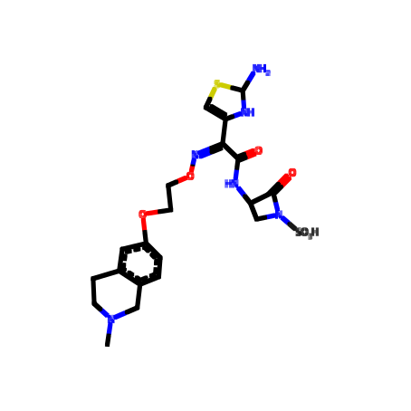 CN1CCc2cc(OCCO/N=C(\C(=O)NC3CN(S(=O)(=O)O)C3=O)C3=CSC(N)N3)ccc2C1